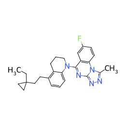 CCC1(CCc2cccc3c2CCCN3c2nc3nnc(C)n3c3ccc(F)cc23)CC1